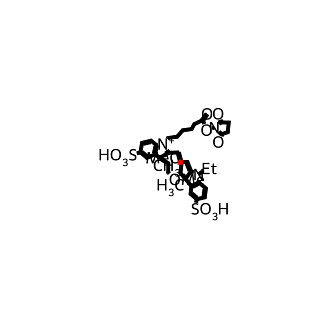 CCN1/C(=C/C=C/C2=[N+](CCCCCC(=O)ON3C(=O)CCC3=O)c3ccc(S(=O)(=O)O)cc3C2(C)CCOC)C(C)(CCOC)c2cc(S(=O)(=O)O)ccc21